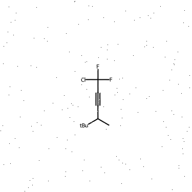 CC(C#CC(F)(F)Cl)C(C)(C)C